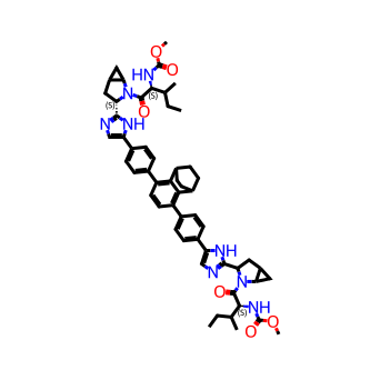 CCC(C)[C@H](NC(=O)OC)C(=O)N1C(c2ncc(-c3ccc(-c4ccc(-c5ccc(-c6cnc([C@@H]7CC8CC8N7C(=O)[C@@H](NC(=O)OC)C(C)CC)[nH]6)cc5)c5c4C4CCC5CC4)cc3)[nH]2)CC2CC21